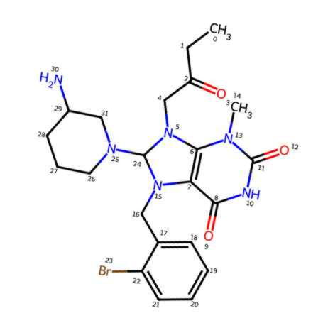 CCC(=O)CN1c2c(c(=O)[nH]c(=O)n2C)N(Cc2ccccc2Br)C1N1CCCC(N)C1